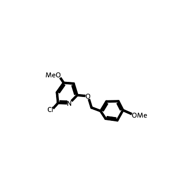 COc1ccc(COc2cc(OC)cc(Cl)n2)cc1